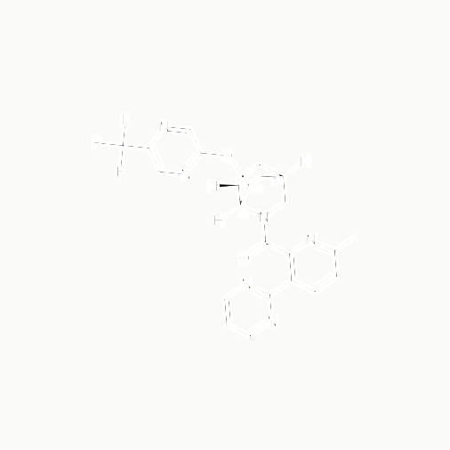 Cc1ccc(-c2ncccn2)c(C(=O)N2C[C@@H]3CC[C@H]2[C@H](Oc2cnc(C(F)(F)F)cn2)C3)n1